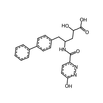 O=C(NC(Cc1ccc(-c2ccccc2)cc1)CC(O)C(=O)O)c1ccc(O)nn1